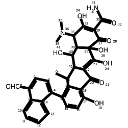 CC1c2c(-c3ccc(C=O)c4ccccc34)ccc(O)c2C(=O)C2=C(O)C3(O)C(=O)C(C(N)=O)=C(O)C(N(C)C)C3C(O)C21